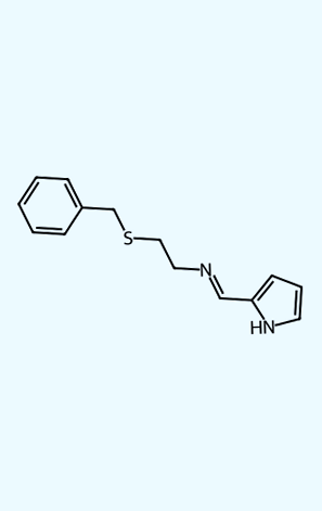 C(=NCCSCc1ccccc1)c1ccc[nH]1